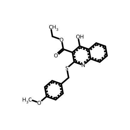 CCOC(=O)c1c(SCc2ccc(OC)cc2)nc2ccccc2c1O